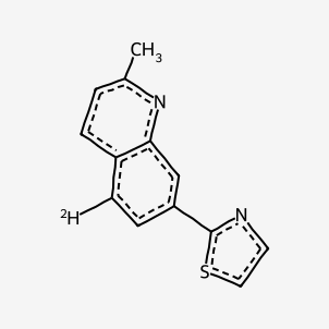 [2H]c1cc(-c2nccs2)cc2nc(C)ccc12